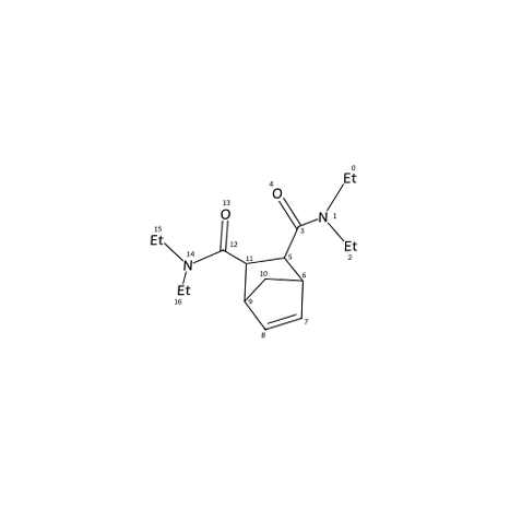 CCN(CC)C(=O)C1C2C=CC(C2)C1C(=O)N(CC)CC